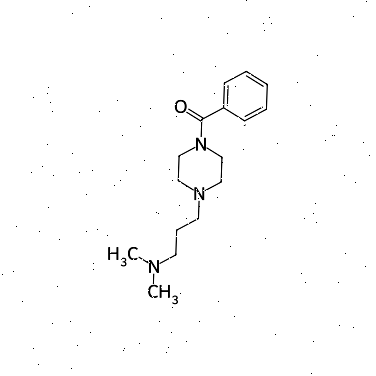 CN(C)CCCN1CCN(C(=O)c2[c]cccc2)CC1